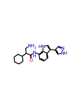 NCC(C(=O)Nc1cccc2c(-c3cn[nH]c3)c[nH]c12)C1CCCCC1